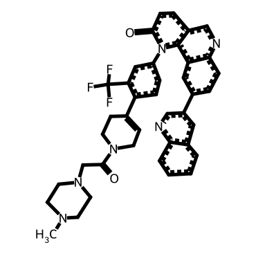 CN1CCN(CC(=O)N2CC=C(c3ccc(-n4c(=O)ccc5cnc6ccc(-c7cnc8ccccc8c7)cc6c54)cc3C(F)(F)F)CC2)CC1